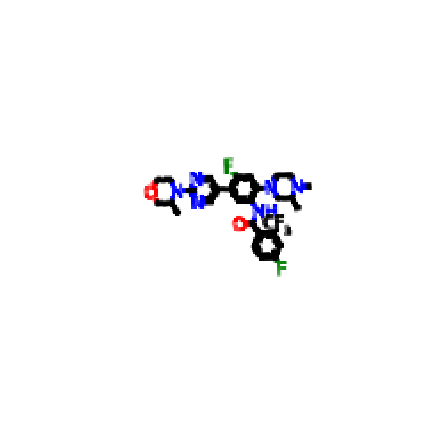 CC1CN(c2cc(F)c(-c3cnc(N4CCOCC4C)nc3)cc2NC(=O)c2ccc(F)cc2C(F)(F)F)CCN1C